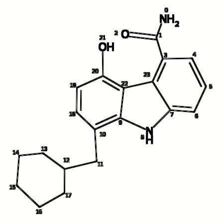 NC(=O)c1cccc2[nH]c3c(CC4CCCCC4)ccc(O)c3c12